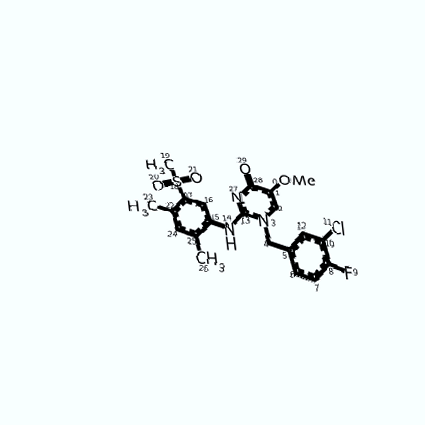 COc1cn(Cc2ccc(F)c(Cl)c2)c(Nc2cc(S(C)(=O)=O)c(C)cc2C)nc1=O